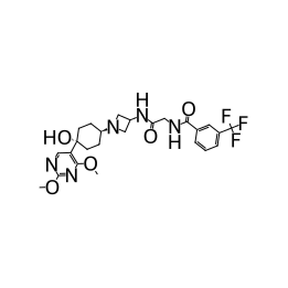 COc1ncc([C@]2(O)CC[C@H](N3CC(NC(=O)CNC(=O)c4cccc(C(F)(F)F)c4)C3)CC2)c(OC)n1